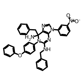 NC1(Cc2ccccc2)c2ncn(-c3cccc([N+](=O)[O-])c3)c2N=C(NCc2ccccc2)N1c1ccc(Oc2ccccc2)cc1